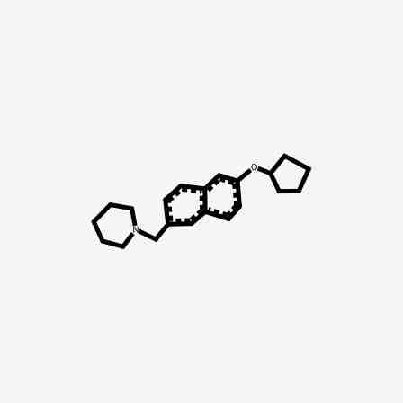 c1cc2cc(OC3CCCC3)ccc2cc1CN1CCCCC1